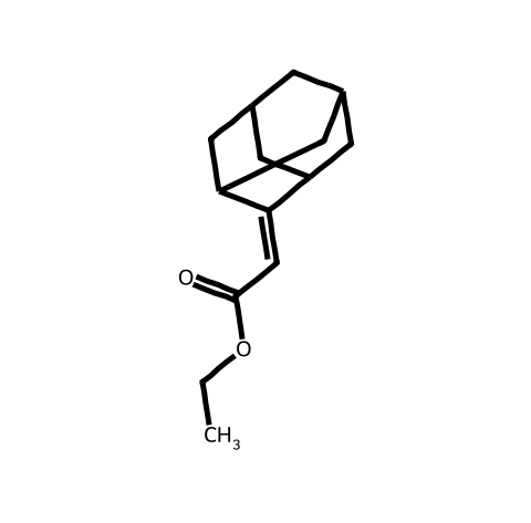 CCOC(=O)C=C1C2CC3CC(C2)CC1C3